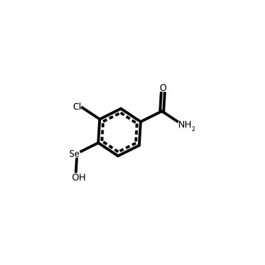 NC(=O)c1ccc([Se]O)c(Cl)c1